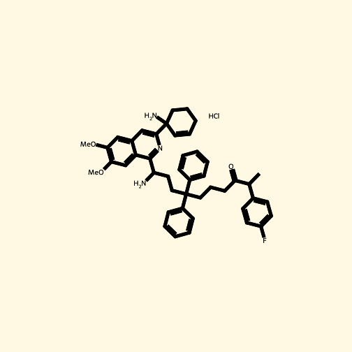 COc1cc2cc(C3(N)C=CCCC3)nc(C(N)CCC(CCCC(=O)C(C)c3ccc(F)cc3)(c3ccccc3)c3ccccc3)c2cc1OC.Cl